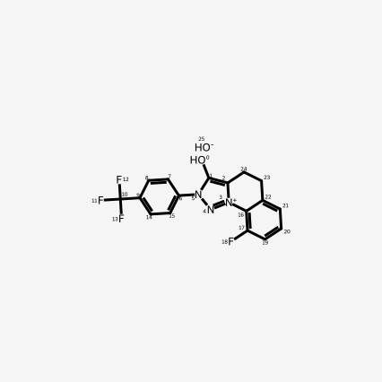 Oc1c2[n+](nn1-c1ccc(C(F)(F)F)cc1)-c1c(F)cccc1CC2.[OH-]